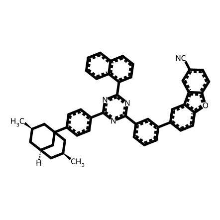 C[C@@H]1C[C@@H]2C[C@H](C)CC(c3ccc(-c4nc(-c5cccc(-c6ccc7oc8ccc(C#N)cc8c7c6)c5)nc(-c5cccc6ccccc56)n4)cc3)(C1)C2